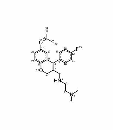 CN(C)CCNCC1=C(c2ccc(F)cc2)c2cc(OC(F)F)ccc2OC1